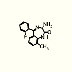 Cc1cccc2c1NC(=O)[C@@H](N)N=C2c1ccccc1F